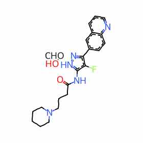 O=C(CCCN1CCCCC1)Nc1[nH]nc(-c2ccc3ncccc3c2)c1F.O=CO